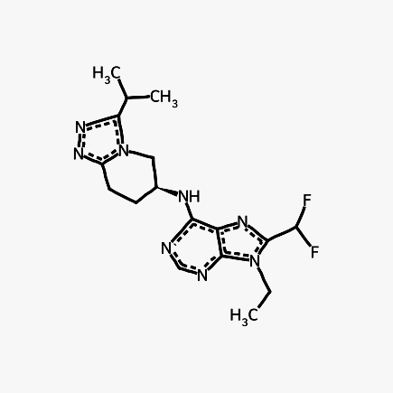 CCn1c(C(F)F)nc2c(N[C@H]3CCc4nnc(C(C)C)n4C3)ncnc21